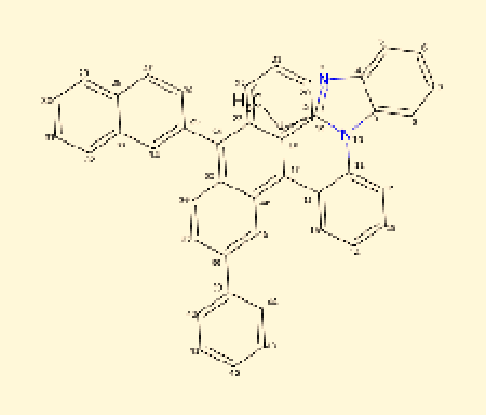 CCc1nc2ccccc2n1-c1ccccc1-c1c2ccccc2c(-c2ccc3ccccc3c2)c2ccc(-c3ccccc3)cc12